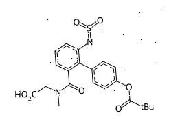 CN(CC(=O)O)C(=O)c1cccc(N=S(=O)=O)c1-c1ccc(OC(=O)C(C)(C)C)cc1